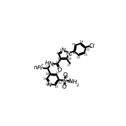 CCCC(NC(=O)c1cnn(-c2ccc(Cl)cc2)c1C)c1cncc(S(N)(=O)=O)c1